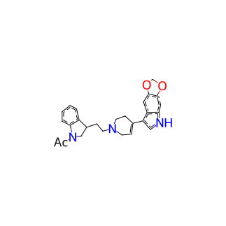 CC(=O)N1CC(CCN2CC=C(c3c[nH]c4cc5c(cc34)OCO5)CC2)c2ccccc21